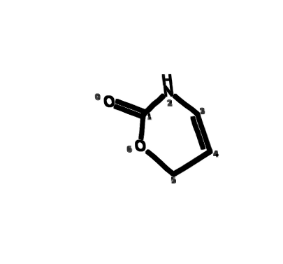 O=C1NC=CCO1